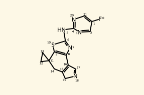 Fc1cnc(Nc2nc3c(s2)C2(CC2)CC2=C3C=NC2)nc1